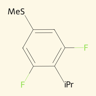 CSc1cc(F)c(C(C)C)c(F)c1